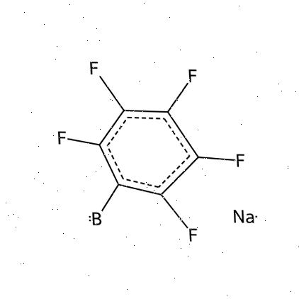 [B]c1c(F)c(F)c(F)c(F)c1F.[Na]